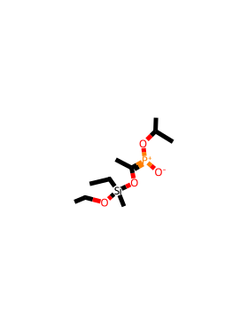 CCO[Si](C)(CC)O/C(C)=[P+](\[O-])OC(C)C